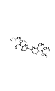 CN(C)c1ccc(-c2csc(N(C)C(=O)[C@@H]3CCCN3C#N)n2)nc1C#N